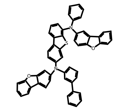 c1ccc(-c2cccc(N(c3ccc4c(c3)oc3ccccc34)c3ccc4c(c3)sc3c(N(c5ccccc5)c5ccc6oc7ccccc7c6c5)cccc34)c2)cc1